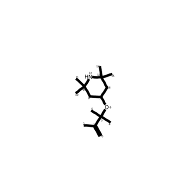 C=C(C)C(C)(C)OC1CC(C)(C)NC(C)(C)C1